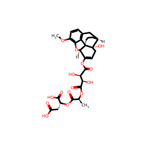 COc1ccc2c3c1O[C@@H]1C(OC(=O)[C@H](O)[C@@H](O)C(=O)O[C@@H](C)C(=O)O[C@H](CC(=O)O)C(=O)O)=CC[C@]4(O)[C@@H](CCC[C@@]314)C2